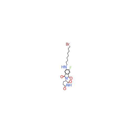 O=C1CCC(N2C(=O)c3cc(F)c(NCCCCCCCCCBr)cc3C2=O)C(=O)N1